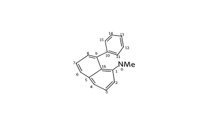 CNc1cccc2cccc(-c3ccccc3)c12